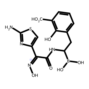 Nc1nc(/C(=N/O)C(=O)NC(Cc2cccc(C(=O)O)c2O)B(O)O)cs1